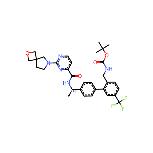 C[C@@H](NC(=O)c1ccnc(N2CCC3(COC3)C2)n1)c1ccc(-c2cc(C(F)(F)F)ccc2CNC(=O)OC(C)(C)C)cc1